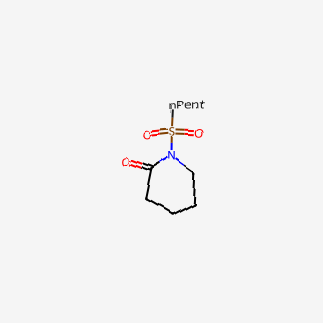 CCCCCS(=O)(=O)N1CCCCC1=O